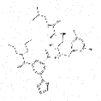 CCCN(CCC)C(=O)c1cc(C(=O)N[C@@H](Cc2cc(F)cc(F)c2)[C@H](O)CN[C@@H](C)C(=O)NCC(C)C)cc(-c2ncco2)c1